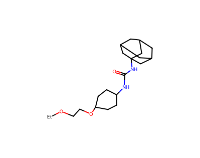 CCOCCOC1CCC(NC(=O)NC23CC4CC(CC(C4)C2)C3)CC1